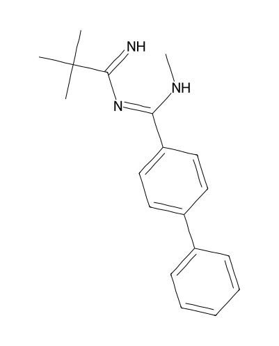 CN/C(=N\C(=N)C(C)(C)C)c1ccc(-c2ccccc2)cc1